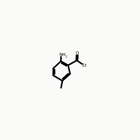 CCC(=O)c1cc(C)ccc1N